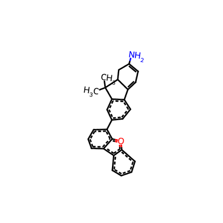 CC1(C)c2cc(-c3cccc4c3oc3ccccc34)ccc2C2=CC=C(N)CC21